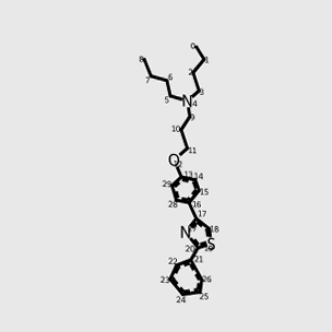 CCCCN(CCCC)CCCOc1ccc(-c2csc(-c3ccccc3)n2)cc1